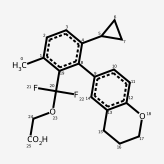 Cc1ccc(C2CC2)c(-c2ccc3c(c2)CCCO3)c1C(F)(F)OCC(=O)O